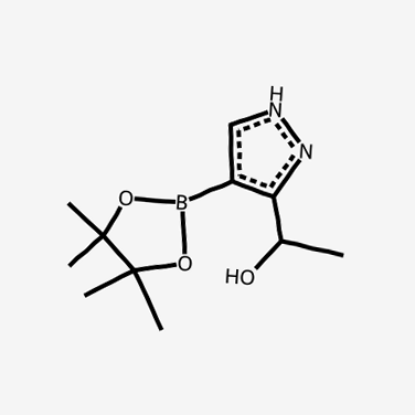 CC(O)c1n[nH]cc1B1OC(C)(C)C(C)(C)O1